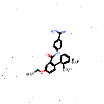 CS(=O)(=O)O.N=C(N)c1ccc(NC(=O)c2cc(OCC(=O)O)ccc2-c2ccccc2C(=O)O)cc1